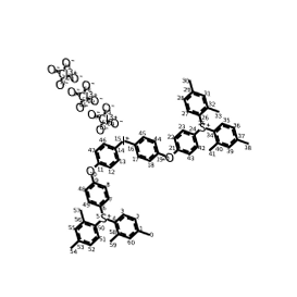 Cc1ccc([S+](c2ccc(Oc3ccc([I+]c4ccc(Oc5ccc([S+](c6ccc(C)cc6C)c6ccc(C)cc6C)cc5)cc4)cc3)cc2)c2ccc(C)cc2C)c(C)c1.[O-][Cl+3]([O-])([O-])[O-].[O-][Cl+3]([O-])([O-])[O-].[O-][Cl+3]([O-])([O-])[O-]